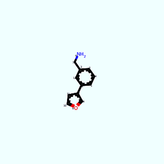 NCc1cccc(-c2[c]occ2)c1